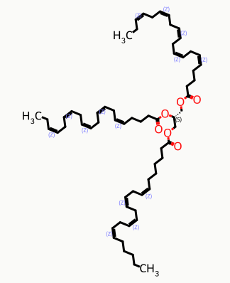 CC/C=C\C/C=C\C/C=C\C/C=C\C/C=C\CCCC(=O)OC[C@H](COC(=O)CCCCC/C=C\C/C=C\C/C=C\C/C=C\CCCCC)OC(=O)CCC/C=C\C/C=C\C/C=C\C/C=C\C/C=C\CC